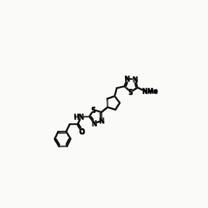 CNc1nnc(CC2CCC(c3nnc(NC(=O)Cc4ccccc4)s3)C2)s1